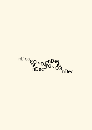 CCCCCCCCCCCCOc1ccc(C=Cc2ccc(C(=O)C(=O)c3ccc(C=Cc4ccc(OCCCCCCCCCCCC)c(OCCCCCCCCCCCC)c4)cc3)cc2)cc1OCCCCCCCCCCCC